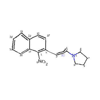 O=[N+]([O-])c1c(/C=C/N2CCCC2)ccc2ccccc12